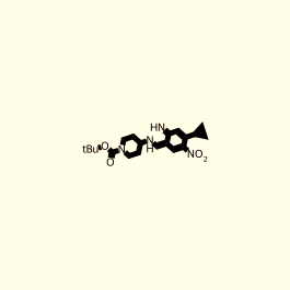 CC(C)(C)OC(=O)N1CCC(N/C=C2/C=C([N+](=O)[O-])C(C3CC3)=CC2=N)CC1